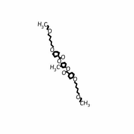 CC=COCCCCCCOc1ccc(C(=O)Oc2ccc(OC(=O)c3ccc(OCCCCCCOC=CC)cc3)c(C)c2)cc1